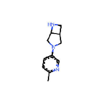 Cc1ccc(N2CC3CNC3C2)cn1